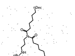 CCCCCCCCCCCCCCCC(=O)N(CCCNCCCC)C(=O)CCCCCCCCCCCCCCC